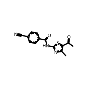 CC(=O)c1sc(NC(=O)c2ccc(C#N)cc2)nc1C